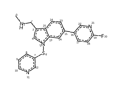 CNCc1cn(Sc2cccnc2)c2cc(-c3ccc(F)nc3)ccc12